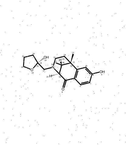 C[C@H]1[C@H]2C(=O)c3ccc(O)cc3[C@@]1(C)CCN2C[C@]1(O)CCCO1